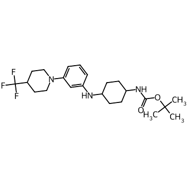 CC(C)(C)OC(=O)NC1CCC(Nc2cccc(N3CCC(C(F)(F)F)CC3)c2)CC1